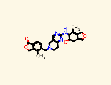 CC1=C2COC=C2CC(=O)C1Nc1ncc2c(n1)CCN(Cc1ccc3c(c1C)COC3=O)C2